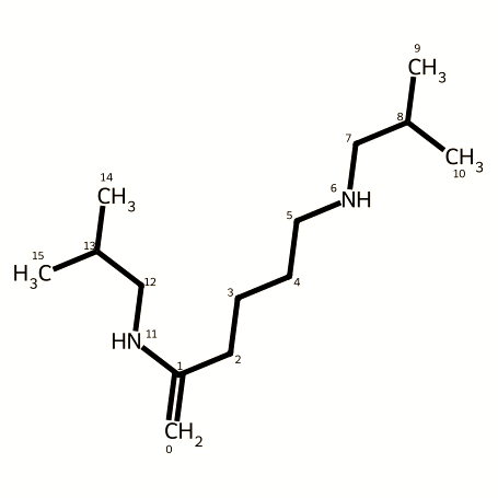 C=C(CCCCNCC(C)C)NCC(C)C